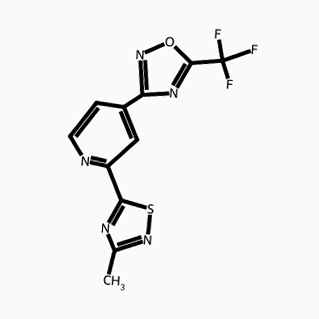 Cc1nsc(-c2cc(-c3noc(C(F)(F)F)n3)ccn2)n1